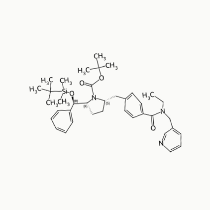 CCN(Cc1cccnc1)C(=O)c1ccc(C[C@@H]2CC[C@H]([C@H](O[Si](C)(C)C(C)(C)C)c3ccccc3)N2C(=O)OC(C)(C)C)cc1